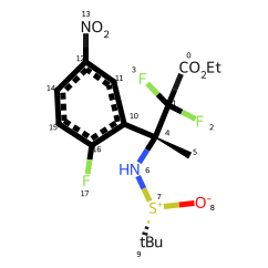 CCOC(=O)C(F)(F)[C@](C)(N[S@+]([O-])C(C)(C)C)c1cc([N+](=O)[O-])ccc1F